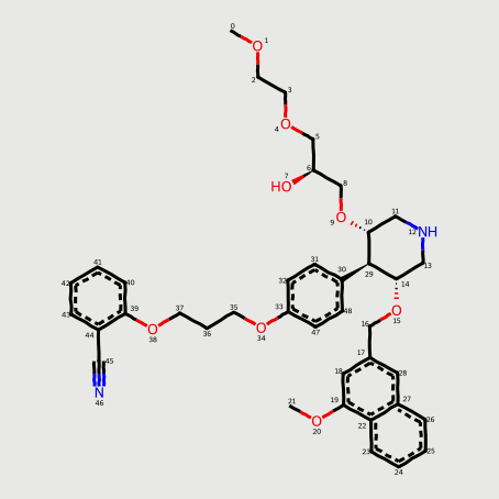 COCCOC[C@H](O)CO[C@@H]1CNC[C@H](OCc2cc(OC)c3ccccc3c2)[C@H]1c1ccc(OCCCOc2ccccc2C#N)cc1